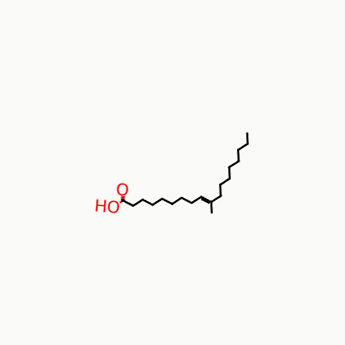 CCCCCCCCC(C)=CCCCCCCCC(=O)O